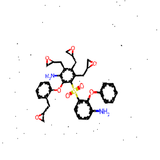 Nc1cccc(S(=O)(=O)c2c(CC3CO3)c(CC3CO3)c(CC3CO3)c(N)c2Oc2ccccc2CC2CO2)c1Oc1ccccc1